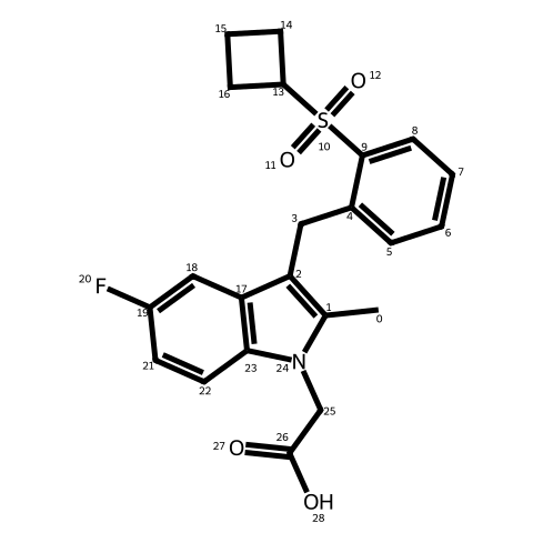 Cc1c(Cc2ccccc2S(=O)(=O)C2CCC2)c2cc(F)ccc2n1CC(=O)O